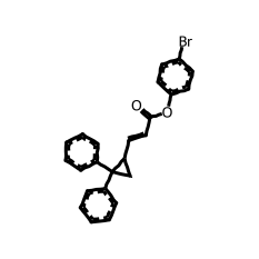 O=C(/C=C/C1CC1(c1ccccc1)c1ccccc1)Oc1ccc(Br)cc1